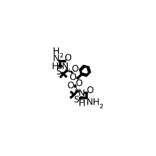 CC1(C)S[C@@H]2C(N)C(=O)N2[C@H]1C(=O)OC(OC(=O)[C@@H]1N2C(=O)C(N)[C@H]2SC1(C)C)c1ccccc1